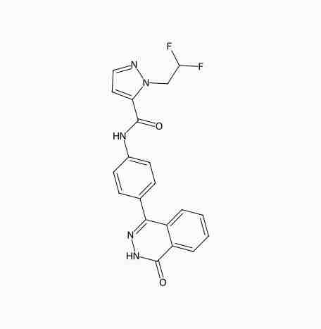 O=C(Nc1ccc(-c2n[nH]c(=O)c3ccccc23)cc1)c1ccnn1CC(F)F